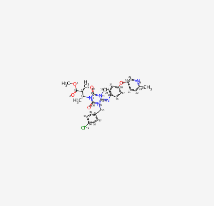 COC(=O)[C@@H](C)[C@@H](C)n1c(=O)n(C)/c(=N\c2ccc(Oc3ccc(C)nc3)cc2)n(Cc2ccc(Cl)cc2)c1=O